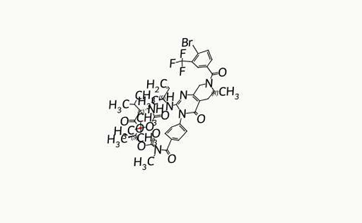 C=C[C@H](C)Nc1nc2c(c(=O)n1-c1ccc(C(=O)N(C)C(=O)O[C@@H](C)OC(=O)[C@@H](NC(=O)OC(C)(C)C)C(C)C)cc1)C[C@@H](C)N(C(=O)c1ccc(Br)c(C(F)(F)F)c1)C2